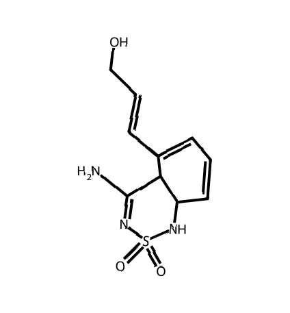 NC1=NS(=O)(=O)NC2C=CC=C(/C=C/CO)C12